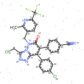 Cc1nc(C(F)(F)F)ccc1Cn1c(=O)c(-c2ccc(C#N)cc2)c(-c2ccc(Cl)cc2)c2nnc(CCl)n21